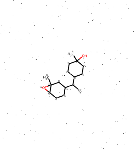 CCC(C1CCC(C)(O)CC1)C1CCC2OC2(C)C1